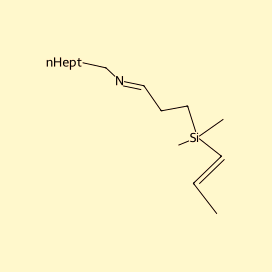 CC=C[Si](C)(C)CCC=NCCCCCCCC